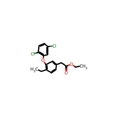 CCOC(=O)Cc1ccc(CC)c(Oc2cc(Cl)ccc2Cl)c1